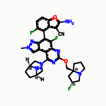 Cn1cc2c(n1)c(-c1c(F)ccc3oc(N)c(C#N)c13)c(F)c1nc(OC[C@@]34CCCN3C[C@H](F)C4)nc(N3C[C@H]4CC[C@@H](C3)N4)c12